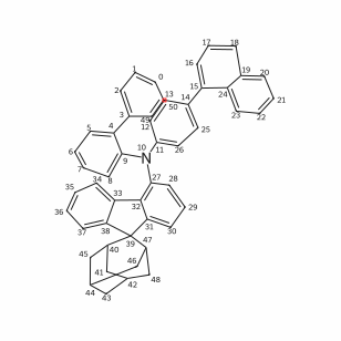 c1ccc(-c2ccccc2N(c2ccc(-c3cccc4ccccc34)cc2)c2cccc3c2-c2ccccc2C32C3CC4CC(C3)CC2C4)cc1